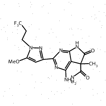 COc1cc(-c2nc(N)c3c(n2)NC(=O)C3(C)C(N)=O)nn1CCC(F)(F)F